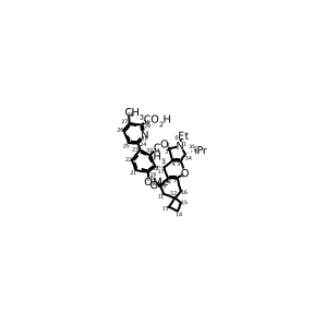 CCN1C(=O)C2=C(OC3=C(C(=O)CC4(CCC4)C3)[C@@H]2c2c(OC)ccc(-c3ccc(C)c(C(=O)O)n3)c2C)[C@H]1C(C)C